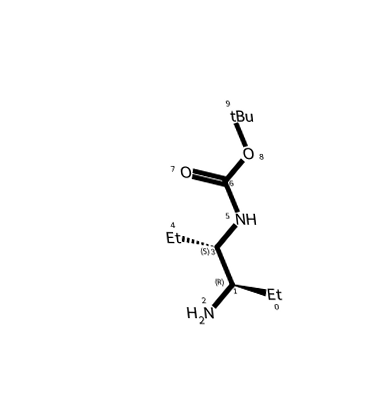 CC[C@@H](N)[C@H](CC)NC(=O)OC(C)(C)C